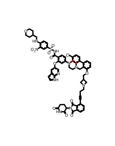 O=C1CCC(N2C(=O)c3cccc(C#CCCN4CC(COc5cccc(-c6ccc(Cl)cc6)c5CN5CCN(c6ccc(C(=O)NS(=O)(=O)c7ccc(NCC8CCOCC8)c([N+](=O)[O-])c7)c(Oc7cnc8[nH]ccc8c7)c6)CC5)C4)c3C2=O)C(=O)N1